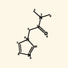 CN(C)C(=O)Cn1c[c]nc1